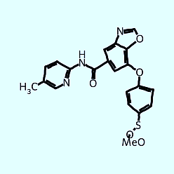 COOSc1ccc(Oc2cc(C(=O)Nc3ccc(C)cn3)cc3ncoc23)cc1